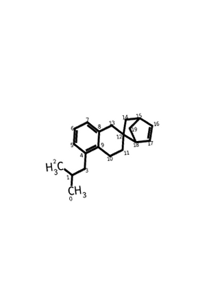 CC(C)Cc1cccc2c1CCC1(C2)CC2C=CC1C2